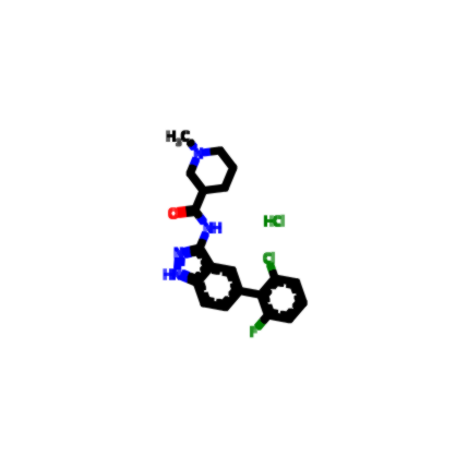 CN1CCCC(C(=O)Nc2n[nH]c3ccc(-c4c(F)cccc4Cl)cc23)C1.Cl